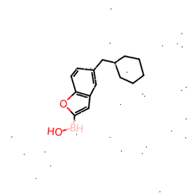 OBc1cc2cc(CC3CCCCC3)ccc2o1